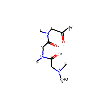 CC(C)C(=O)CN(C)C(=O)CN(C)C(=O)CN(C)C=O